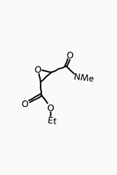 [CH2]NC(=O)C1OC1C(=O)OCC